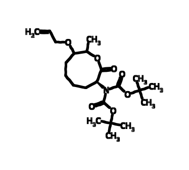 C=CCOC1CCCC[C@H](N(C(=O)OC(C)(C)C)C(=O)OC(C)(C)C)C(=O)OC1C